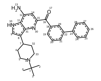 CC(C)(C)N1CCC(c2c[nH]c3c(N)cc(C(=O)c4cccc(-c5ccccc5)c4)nc23)CC1